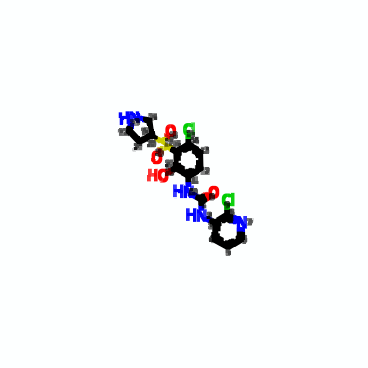 O=C(Nc1cccnc1Cl)Nc1ccc(Cl)c(S(=O)(=O)[C@H]2CCNC2)c1O